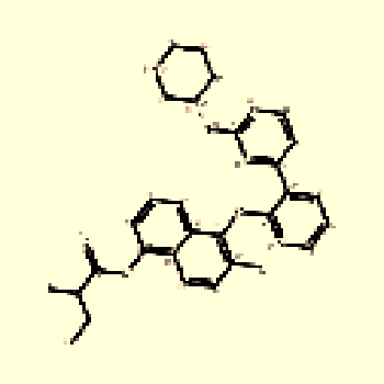 CCC(C)C(=O)Nc1cccc2c(Oc3ncccc3-c3ccnc(N[C@H]4CCCNC4)n3)c(C)ccc12